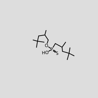 CC(COP(O)(=S)CC(C)CC(C)(C)C)CC(C)(C)C